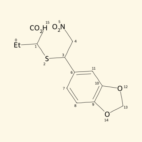 CCC(SC(C[N+](=O)[O-])c1ccc2c(c1)OCO2)C(=O)O